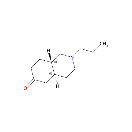 CCCN1CC[C@H]2CC(=O)CC[C@@H]2C1